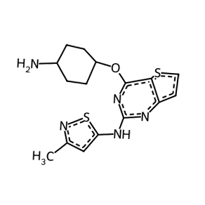 Cc1cc(Nc2nc(OC3CCC(N)CC3)c3sccc3n2)sn1